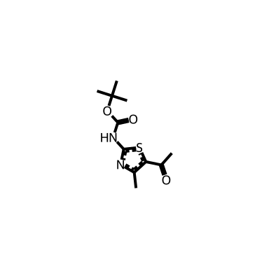 CC(=O)c1sc(NC(=O)OC(C)(C)C)nc1C